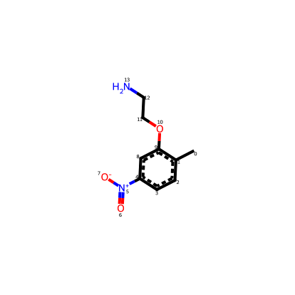 Cc1ccc([N+](=O)[O-])cc1OCCN